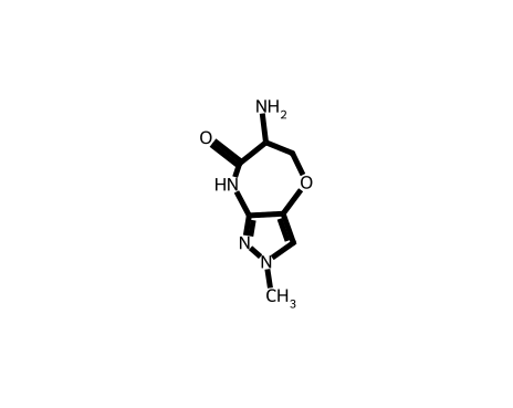 Cn1cc2c(n1)NC(=O)C(N)CO2